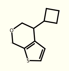 [CH]1OCC(C2CCC2)c2ccsc21